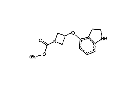 CC(C)(C)OC(=O)N1CC(Oc2cccc3c2CCN3)C1